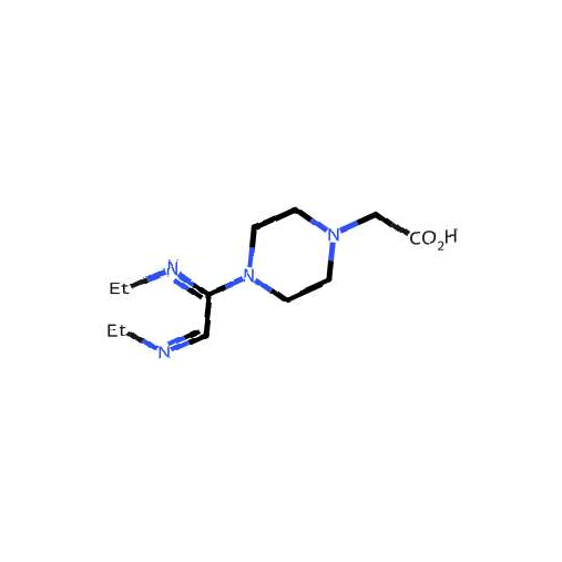 CC/N=C\C(=N/CC)N1CCN(CC(=O)O)CC1